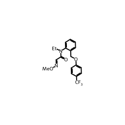 CCN(C(=O)C=NOC)c1ccccc1COc1ccc(C(F)(F)F)cc1